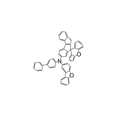 c1ccc(-c2ccc(N(c3ccc4c(c3)C3(c5ccccc5Oc5ccccc53)c3ccc5ccccc5c3-4)c3ccc4oc5ccccc5c4c3)cc2)cc1